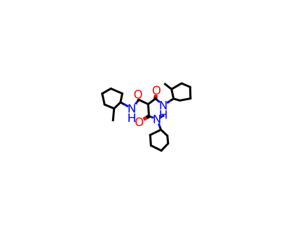 CC1CCCCC1NC(=O)C(C(=O)NC1CCCCC1C)C(=O)N(C)C1CCCCC1